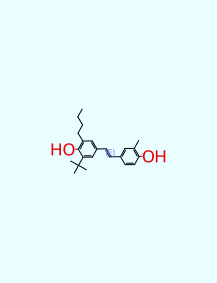 CCCCc1cc(/C=C/c2ccc(O)c(C)c2)cc(C(C)(C)C)c1O